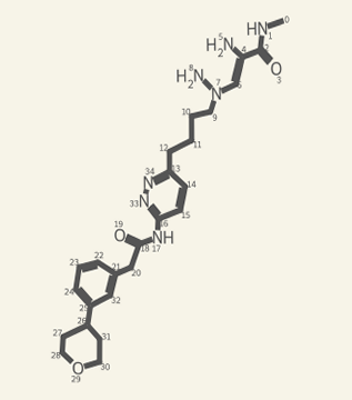 CNC(=O)/C(N)=C/N(N)CCCCc1ccc(NC(=O)Cc2cccc(C3CCOCC3)c2)nn1